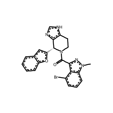 Cn1nc(C(=O)N2CCc3[nH]cnc3[C@H]2c2cc3ccccc3o2)c2c(Br)cccc21